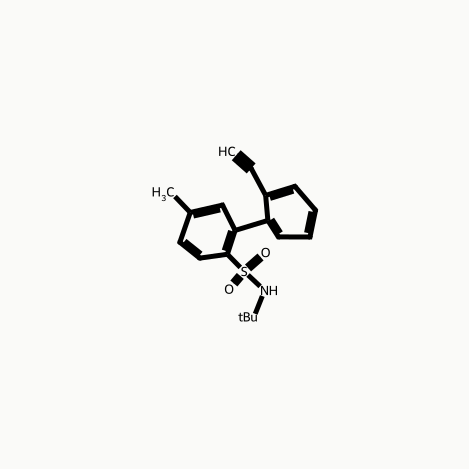 C#Cc1ccccc1-c1cc(C)ccc1S(=O)(=O)NC(C)(C)C